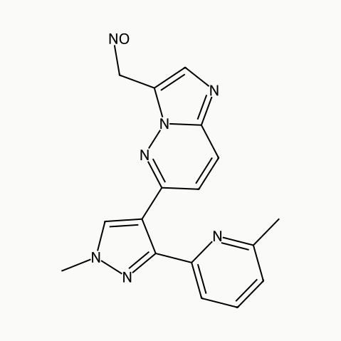 Cc1cccc(-c2nn(C)cc2-c2ccc3ncc(CN=O)n3n2)n1